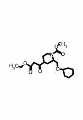 CCOC(=O)CC(=O)C1CCN(C(=O)OC)C(COC2CCCCC2)C1